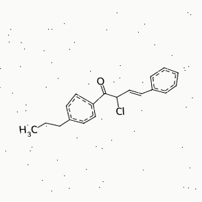 CCCc1ccc(C(=O)C(Cl)C=Cc2ccccc2)cc1